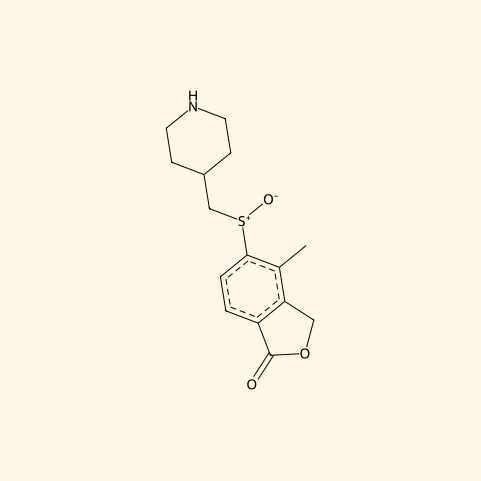 Cc1c([S+]([O-])CC2CCNCC2)ccc2c1COC2=O